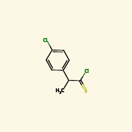 CC(C(=S)Cl)c1ccc(Cl)cc1